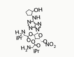 CC(C)[C@H](N)C(=O)O[C@@H]1[C@H](OC(=O)[C@@H](N)C(C)C)[C@@H](CO[N+](=O)[O-])O[C@H]1n1cnc2c(N[C@@H]3CCC[C@H]3O)ncnc21